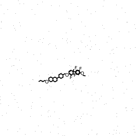 CCCCOC1CCC2CC(C3CCC(COC4=C(F)C(F)C(C)(c5ccc(OCC)c(F)c5F)C=C4)CC3)CCC2C1